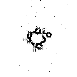 O=C(C1CCCC1)n1c2cncc(c2)c2cc3c(cn2)[nH]nc3c2nc3c(cncc3c3ccc1s3)[nH]2